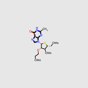 COCCO[C@H]1C(OC)[C@@H](COC)S[C@H]1n1cnc2c(=O)[nH]c(C)nc21